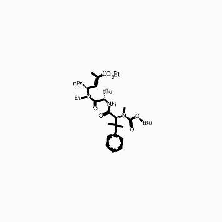 CCC[C@@H](C=C(C)C(=O)OCC)N(CC)C(=O)[C@@H](NC(=O)[C@@H](N(C)C(=O)OC(C)(C)C)C(C)(C)c1ccccc1)C(C)(C)C